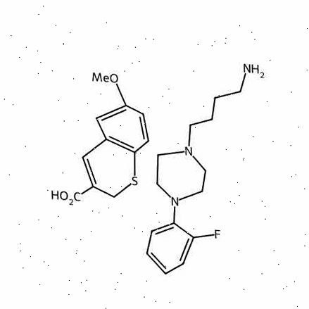 COc1ccc2c(c1)C=C(C(=O)O)CS2.NCCCCN1CCN(c2ccccc2F)CC1